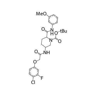 COc1cccc(NC(=O)C2CCC(NC(=O)COc3ccc(Cl)c(F)c3)CN2C(=O)OC(C)(C)C)c1